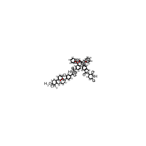 CC1(C)CCC(c2ccc(Cl)cc2)=C(CN2CCN(c3ccc(C(=O)NS(=O)(=O)c4ccc(N[C@H](CCN5C6CC5CN(Cc5ccc7c(c5)CN(C5CCC(=O)NC5=O)C7=O)C6)CSc5ccccc5)c(S(=O)(=O)C(F)(F)F)c4)cc3)CC2)C1